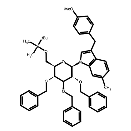 COc1ccc(Cc2cn([C@@H]3O[C@H](CO[Si](C)(C)C(C)(C)C)[C@@H](OCc4ccccc4)[C@H](OCc4ccccc4)[C@H]3OCc3ccccc3)c3cc(C)ccc23)cc1